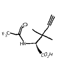 C#CC(C)(C)[C@H](NC(=O)C(F)(F)F)C(=O)O